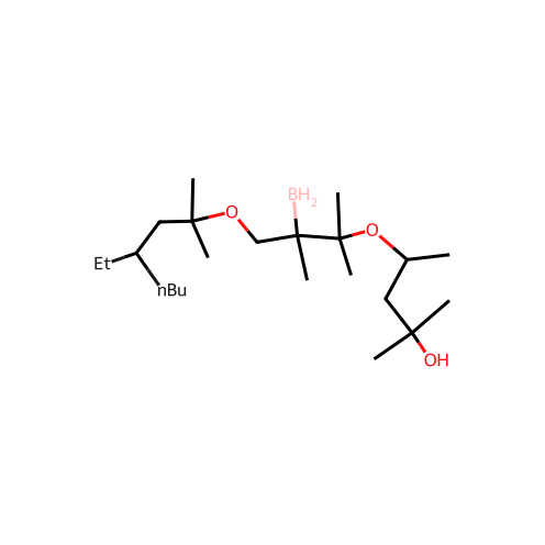 BC(C)(COC(C)(C)CC(CC)CCCC)C(C)(C)OC(C)CC(C)(C)O